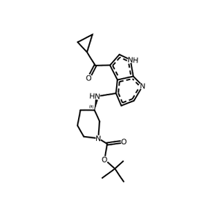 CC(C)(C)OC(=O)N1CCC[C@@H](Nc2ccnc3[nH]cc(C(=O)C4CC4)c23)C1